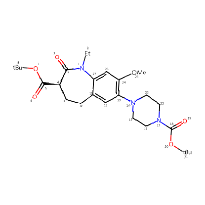 CCN1C(=O)[C@H](C(=O)OC(C)(C)C)CCc2cc(N3CCN(C(=O)OC(C)(C)C)CC3)c(OC)cc21